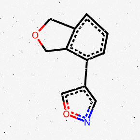 c1cc2c(c(-c3cnoc3)c1)COC2